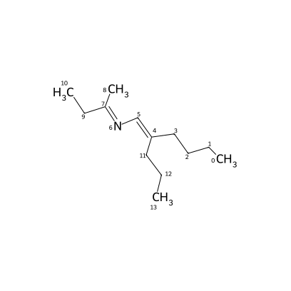 CCCC/C(=C/N=C(\C)CC)CCC